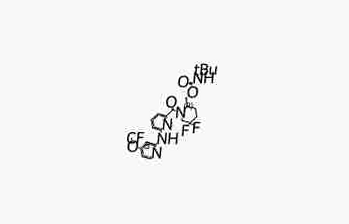 CC(C)(C)NC(=O)OC[C@H]1CCC(F)(F)CN1C(=O)c1cccc(Nc2cc(OC(F)(F)F)ccn2)n1